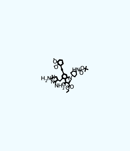 CCOC(=O)c1cn([C@H]2CC[C@H](NC(=O)OC(C)(C)C)CC2)c2cc(C#Cc3cccc(OC)c3OC)cc(Cc3cnc(N)nc3N)c2c1=O